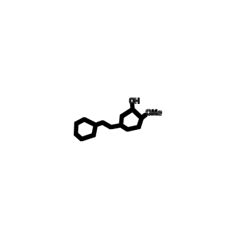 COC1CCC(CCC2CCCCC2)CC1O